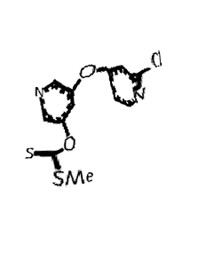 CSC(=S)Oc1cncc(Oc2ccnc(Cl)c2)c1